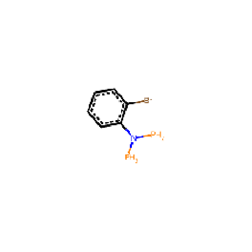 PN(P)c1ccccc1Br